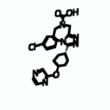 O=C(O)N1Cc2cc(Cl)ccc2-n2c(nnc2[C@H]2CC[C@H](Oc3cnccn3)CC2)C1